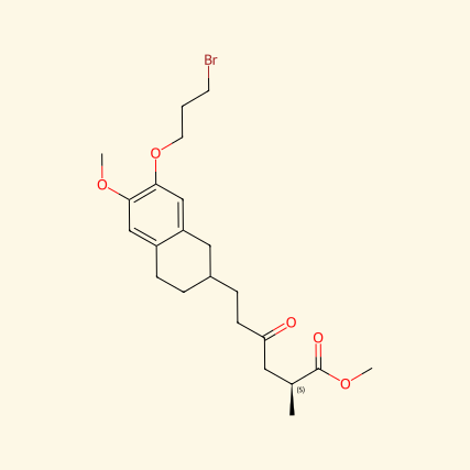 COC(=O)[C@@H](C)CC(=O)CCC1CCc2cc(OC)c(OCCCBr)cc2C1